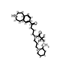 CC1CCCCN1CCCN(CCCC(=O)c1ccc2c(c1)CCNCC2)C(=O)C(F)(F)F